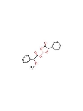 COC(C(=O)OB1OC(=O)C(c2ccccc2)O1)c1ccccc1